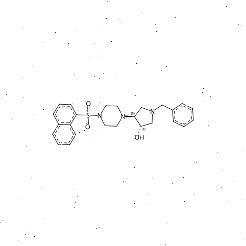 O=S(=O)(c1cccc2ccccc12)N1CCN([C@H]2CN(Cc3ccccc3)C[C@@H]2O)CC1